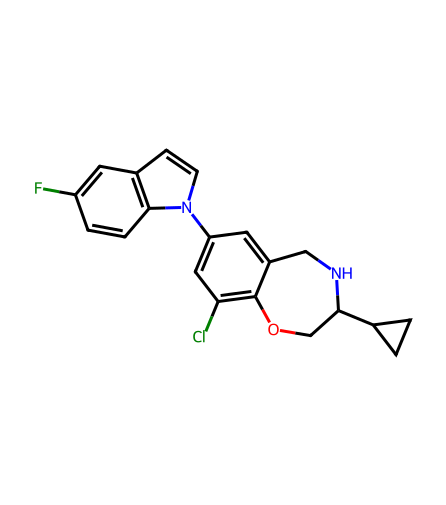 Fc1ccc2c(ccn2-c2cc(Cl)c3c(c2)CNC(C2CC2)CO3)c1